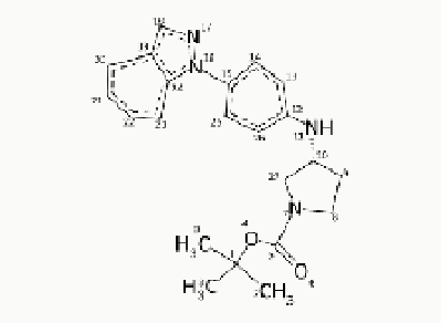 CC(C)(C)OC(=O)N1CC[C@@H](Nc2ccc(-n3ncc4ccccc43)cc2)C1